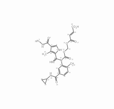 CCCNC(=O)c1c[nH]c(C(=N)N(C(=O)OCOC(=O)/C=C/C(=O)O)c2cc(C(=O)NC3CC3)ccc2C)c1C